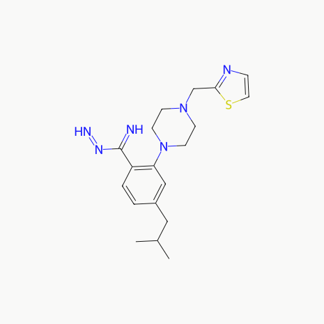 CC(C)Cc1ccc(C(=N)N=N)c(N2CCN(Cc3nccs3)CC2)c1